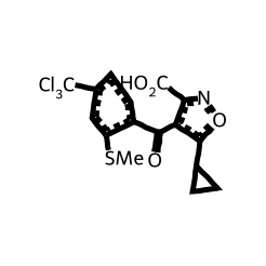 CSc1cc(C(Cl)(Cl)Cl)ccc1C(=O)c1c(C(=O)O)noc1C1CC1